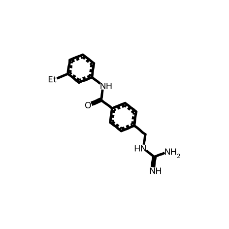 CCc1cccc(NC(=O)c2ccc(CNC(=N)N)cc2)c1